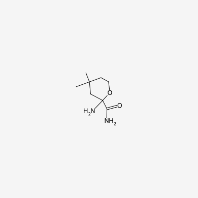 CC1(C)CCOC(N)(C(N)=O)C1